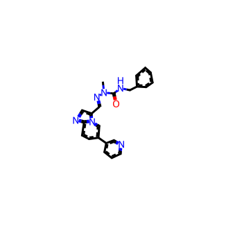 CN(/N=C/c1cnc2ccc(-c3cccnc3)cn12)C(=O)NCc1ccccc1